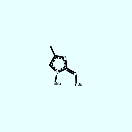 CCCCN=c1sc(C)cn1CCCC